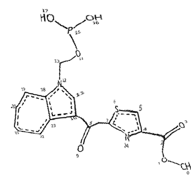 COC(=O)c1csc(C(=O)c2cn(COP(O)O)c3ccccc23)n1